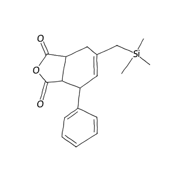 C[Si](C)(C)CC1=CC(c2ccccc2)C2C(=O)OC(=O)C2C1